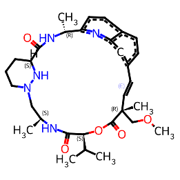 COC[C@@]1(C)/C=C/c2ccc3ccc(nc3c2)[C@@H](C)NC(=O)[C@@H]2CCCN(C[C@H](C)NC(=O)[C@H](C(C)C)OC1=O)N2